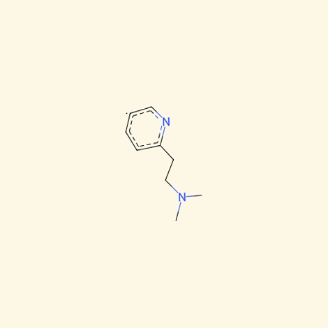 CN(C)CCc1cc[c]cn1